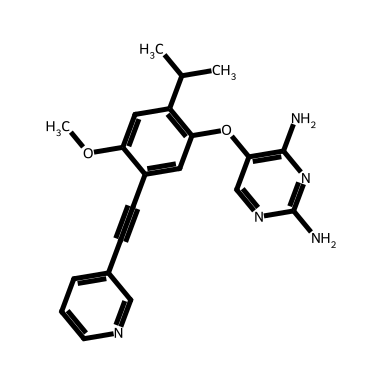 COc1cc(C(C)C)c(Oc2cnc(N)nc2N)cc1C#Cc1cccnc1